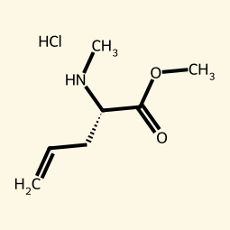 C=CC[C@H](NC)C(=O)OC.Cl